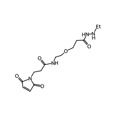 CCNNC(=O)CCOCCNC(=O)CCN1C(=O)C=CC1=O